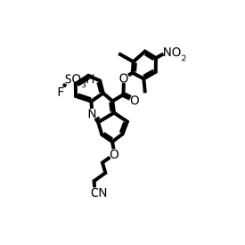 Cc1cc([N+](=O)[O-])cc(C)c1OC(=O)c1c2ccccc2nc2cc(OCCCC#N)ccc12.O=S(=O)(O)F